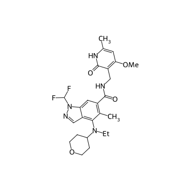 CCN(c1c(C)c(C(=O)NCc2c(OC)cc(C)[nH]c2=O)cc2c1cnn2C(F)F)C1CCOCC1